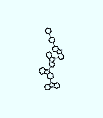 c1ccc(-c2ccc(-c3ccc4c(c3)sc3cccc(-n5c6ccccc6c6cc(-n7c8ccccc8c8cc(-n9c%10ccccc%10c%10ccccc%109)ccc87)ccc65)c34)cc2)cc1